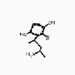 CC(N)CC(C)c1c(O)ccc(O)c1Br